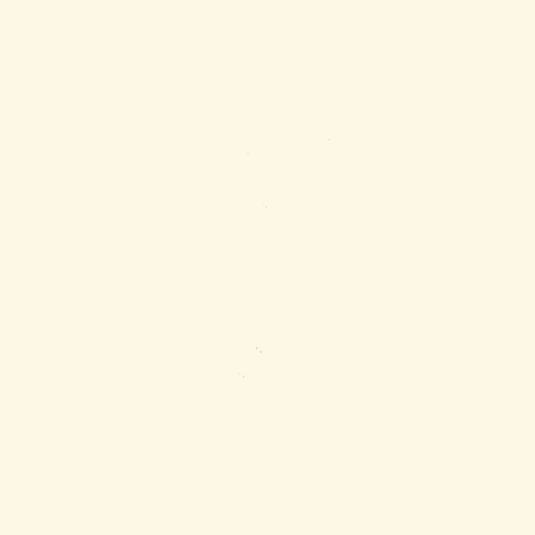 O=[N+]1CSC2=CC3=CC(n4cnc(CO)c4)=CCC3C2=N1